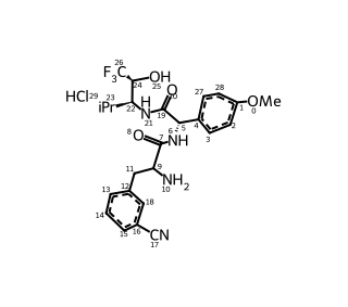 COc1ccc([C@H](NC(=O)C(N)Cc2cccc(C#N)c2)C(=O)N[C@@H](C(C)C)[C@H](O)C(F)(F)F)cc1.Cl